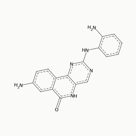 Nc1ccc2c(c1)c(=O)[nH]c1cnc(Nc3ccccc3N)nc12